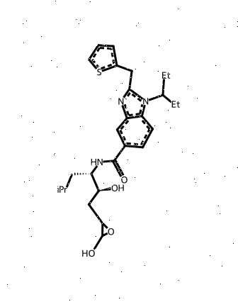 CCC(CC)n1c(Cc2cccs2)nc2cc(C(=O)N[C@@H](CC(C)C)[C@@H](O)CC3OC3O)ccc21